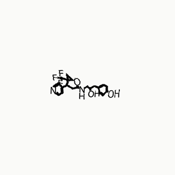 O=C(CC(c1ccncc1)C1(C(F)(F)F)CC1)NCC(O)Cc1ccc(O)cc1